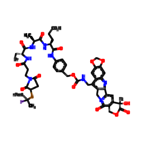 CCCCCC(C)(I)SC1CC(=O)N(CCC(=O)N[C@H](CC(C)C)C(=O)N[C@@H](C)C(=O)N[C@@H](CCC(=O)O)C(=O)Nc2ccc(COC(=O)NCc3c4c(nc5cc6c(cc35)OCO6)-c3cc5c(c(=O)n3C4)COC(=O)C5(O)CC)cc2)C1=O